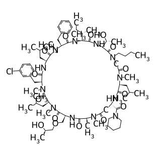 CCCCN1CC(=O)N(C)[C@@H](CC(C)C)C(=O)N[C@H](C(=O)N2CCCCC2)CC(=O)N(C)[C@@H](C)C(=O)N[C@@H](COC[C@@H](C)O)C(=O)N(C)[C@@H](CC(C)C)C(=O)N(C)[C@@H](Cc2cccc(Cl)c2)C(=O)N[C@@H](CC(C)C)C(=O)N(C)[C@@H](Cc2ccccc2)C(=O)N(C)[C@@H]([C@@H](C)CC)C(=O)N[C@@H]([C@@H](C)O)C1=O